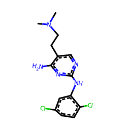 CN(C)CCc1cnc(Nc2cc(Cl)ccc2Cl)nc1N